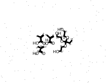 C=C(C)C(=O)O.C=C(C)C(=O)O.C=C(C)C(=O)O.CCC(OCCO)(OCCO)OCCO